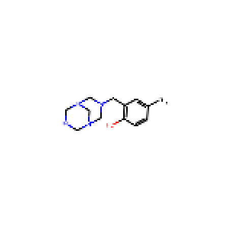 Cc1ccc(O)c(CN2CN3CNCN(C3)C2)c1